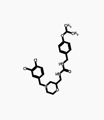 CC(C)Oc1ccc(CNC(=O)NCC2CN(Cc3ccc(Cl)c(Cl)c3)CCO2)cc1